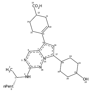 CCCCC[C@H](C)Nc1ncc2c(C3=CCC(C(=O)O)CC3)cc(C3CCC(O)CC3)n2n1